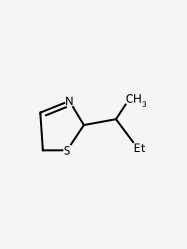 CCC(C)C1N=CCS1